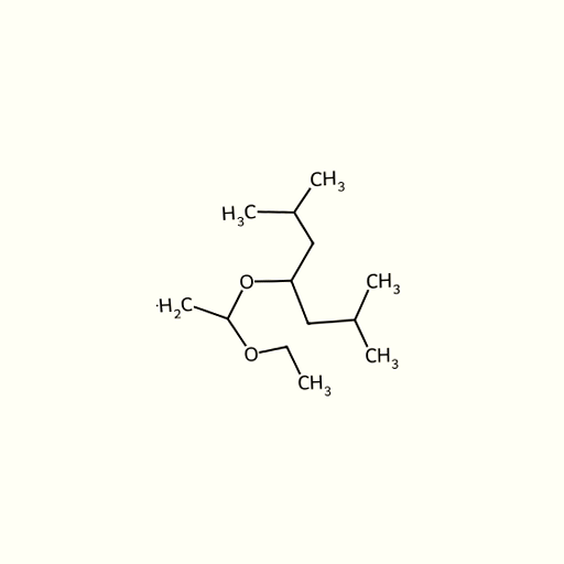 [CH2]C(OCC)OC(CC(C)C)CC(C)C